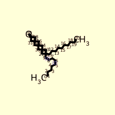 CCCCC/C=C\C/C=C\C1(CCCCCCCCCC)CC2(C1)CC1(CC3(CC(=O)C3)C1)C2